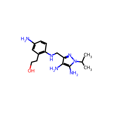 CC(C)n1nc(CNc2ccc(N)cc2CCO)c(N)c1N